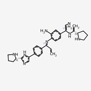 C=C/C(=N\c1ccc(/C(=C/N)NC(=C)[C@@H]2CCCN2)cc1N)c1ccc(-c2cnc([C@@H]3CCCN3)[nH]2)cc1